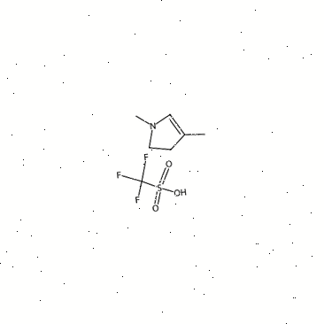 CC1=CN(C)CC1.O=S(=O)(O)C(F)(F)F